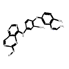 C/C=N\c1cc(Oc2ccc(Nc3ncnc4cnc(OCC)nc34)cc2C)ccc1C